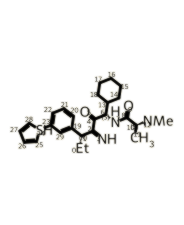 CC[C@@H](C(=N)C(=O)[C@@H](NC(=O)[C@H](C)NC)C1CCCCC1)c1cccc([SH]2C=CC=C2)c1